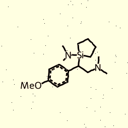 COc1ccc(C(CN(C)C)[Si]2(N(C)C)CCCC2)cc1